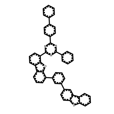 c1ccc(-c2ccc(-c3nc(-c4ccccc4)nc(-c4cccc5c4oc4c(-c6cccc(-c7ccc8sc9ccccc9c8c7)c6)cccc45)n3)cc2)cc1